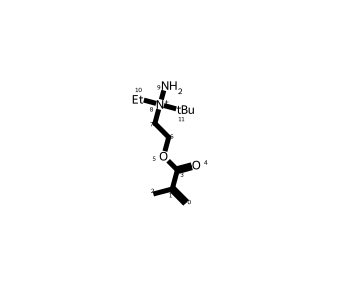 C=C(C)C(=O)OCC[N+](N)(CC)C(C)(C)C